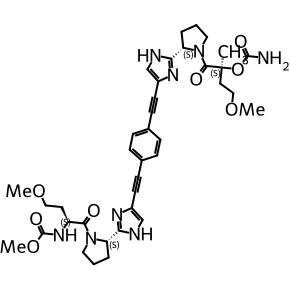 COCC[C@H](NC(=O)OC)C(=O)N1CCC[C@H]1c1nc(C#Cc2ccc(C#Cc3c[nH]c([C@@H]4CCCN4C(=O)[C@](C)(CCOC)OC(N)=O)n3)cc2)c[nH]1